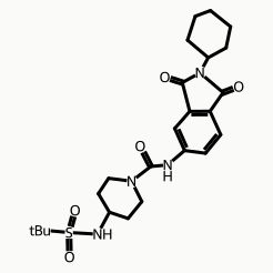 CC(C)(C)S(=O)(=O)NC1CCN(C(=O)Nc2ccc3c(c2)C(=O)N(C2CCCCC2)C3=O)CC1